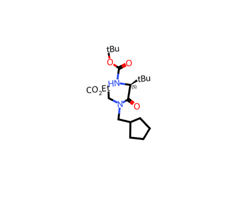 CCOC(=O)CN(CC1CCCC1)C(=O)[C@@H](NC(=O)OC(C)(C)C)C(C)(C)C